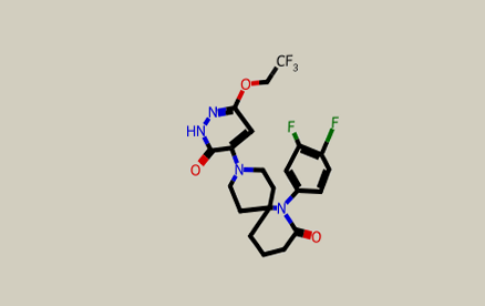 O=C1CCCC2(CCN(c3cc(OCC(F)(F)F)n[nH]c3=O)CC2)N1c1ccc(F)c(F)c1